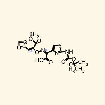 BOC(=O)/C(=C\B1OCO1)O/N=C(\C(=O)O)c1csc(NC(=O)OC(C)(C)C)n1